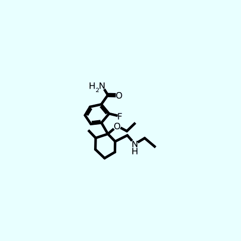 CCNCC1CCCC(C)C1(OCC)c1cccc(C(N)=O)c1F